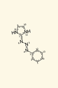 c1ccc(/N=N/N=c2[nH]cc[nH]2)cc1